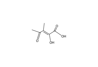 CC(=O)/C(C)=C(\O)C(=O)O